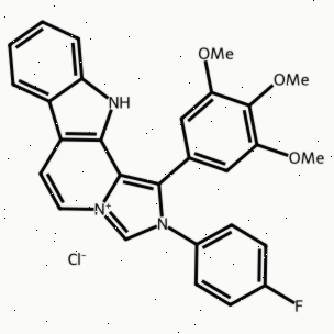 COc1cc(-c2c3c4[nH]c5ccccc5c4cc[n+]3cn2-c2ccc(F)cc2)cc(OC)c1OC.[Cl-]